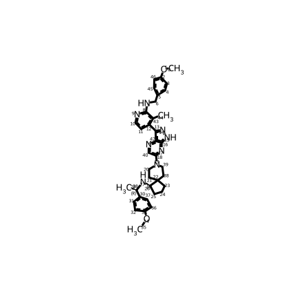 COc1ccc(CNc2nccc(-c3n[nH]c4nc(N5CCC6(CCC[C@H]6N[C@H](C)c6ccc(OC)cc6)CC5)cnc34)c2C)cc1